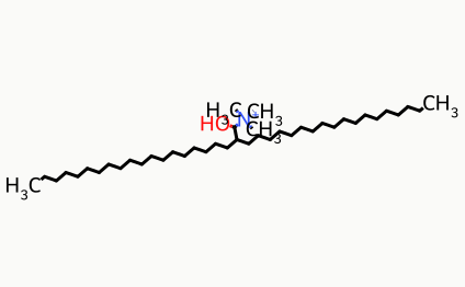 CCCCCCCCCCCCCCCCCCCC(CCCCCCCCCCCCCCCCCC)C(O)[N+](C)(C)C